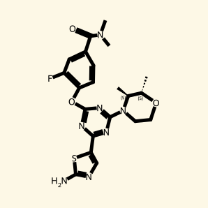 C[C@@H]1OCCN(c2nc(Oc3ccc(C(=O)N(C)C)cc3F)nc(-c3cnc(N)s3)n2)[C@H]1C